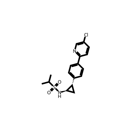 CC(C)S(=O)(=O)N[C@@H]1C[C@H]1c1ccc(-c2ccc(Cl)cn2)cc1